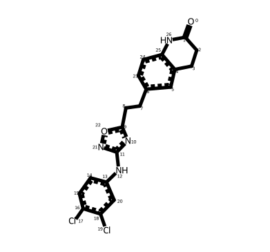 O=C1CCc2cc(CCc3nc(Nc4ccc(Cl)c(Cl)c4)no3)ccc2N1